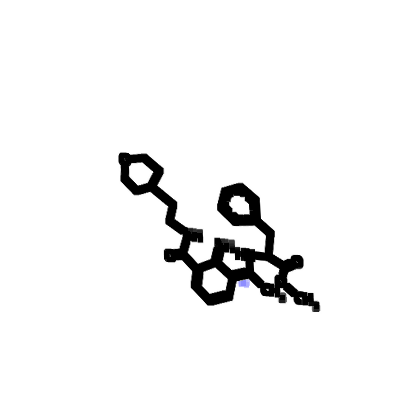 COC(=O)C(Cc1ccccc1)N/C(C)=C1/C=CC=C(C(=O)NCCC2CCOCC2)C1=N